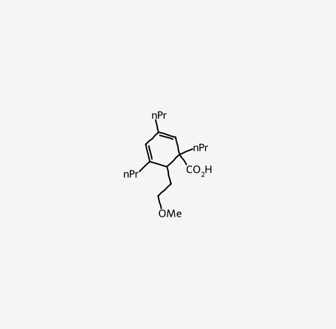 CCCC1=CC(CCC)(C(=O)O)C(CCOC)C(CCC)=C1